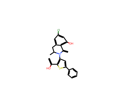 C=C(O)c1sc(-c2ccccc2)cc1N1C(=C)c2c(O)cc(Cl)cc2CC1C